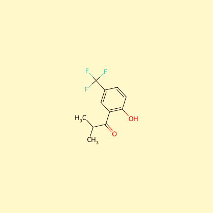 CC(C)C(=O)c1cc(C(F)(F)F)ccc1O